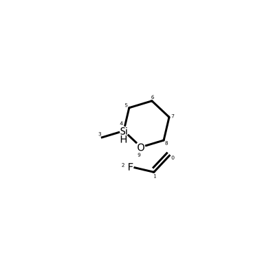 C=CF.C[SiH]1CCCCO1